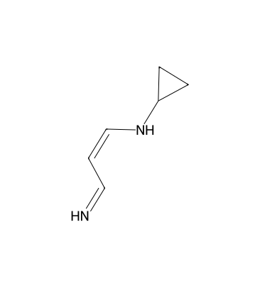 N=C/C=C\NC1CC1